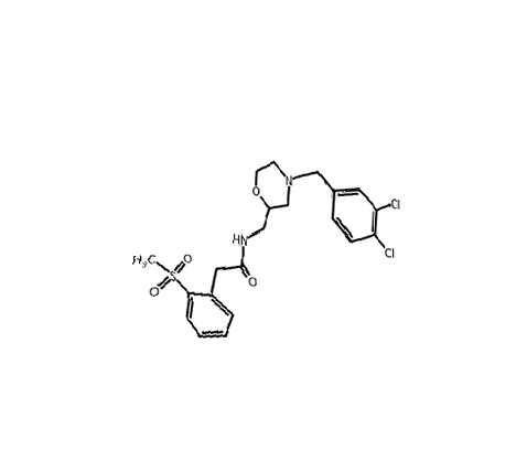 CS(=O)(=O)c1ccccc1CC(=O)NCC1CN(Cc2ccc(Cl)c(Cl)c2)CCO1